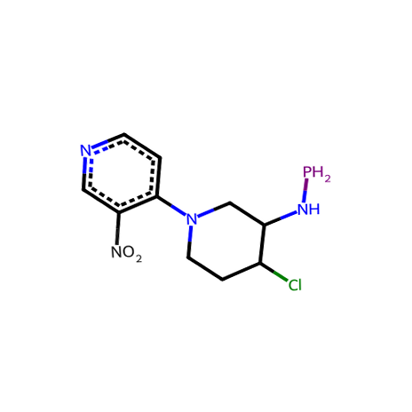 O=[N+]([O-])c1cnccc1N1CCC(Cl)C(NP)C1